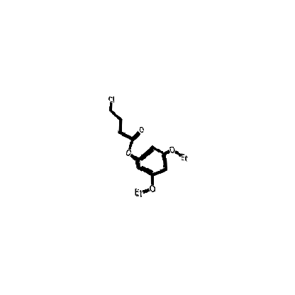 CCOc1cc(OCC)cc(OC(=O)CCCCl)c1